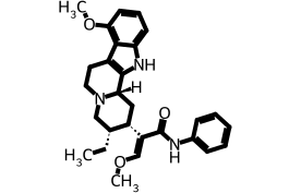 CC[C@@H]1CN2CCc3c([nH]c4cccc(OC)c34)[C@@H]2C[C@@H]1/C(=C\OC)C(=O)Nc1ccccc1